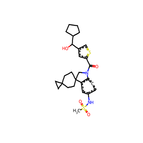 CS(=O)(=O)Nc1ccc2c(c1)C1(CCC3(CC3)CC1)CN2C(=O)c1cc(C(O)C2CCCC2)cs1